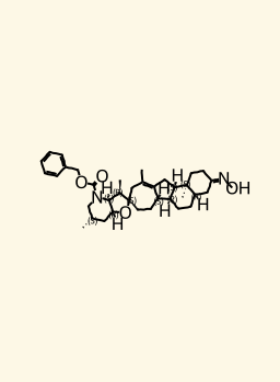 CC1=C2C[C@H]3[C@@H](CC[C@@H]4CC(=NO)CC[C@@]43C)[C@@H]2CC[C@@]2(C1)O[C@@H]1C[C@H](C)CN(C(=O)OCc3ccccc3)[C@H]1[C@H]2C